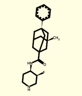 C[C@]12CC3CC(C(=O)N[C@@H]4CCNC[C@@H]4F)(C1)C[C@@](c1ccccc1)(C3)C2